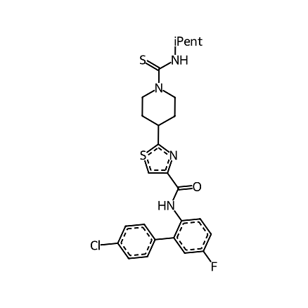 CCCC(C)NC(=S)N1CCC(c2nc(C(=O)Nc3ccc(F)cc3-c3ccc(Cl)cc3)cs2)CC1